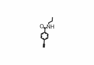 C#Cc1ccc(C(=O)NCCC)cc1